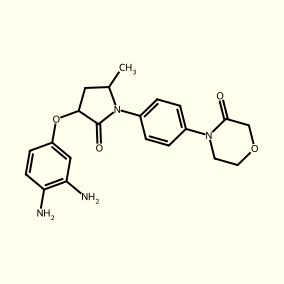 CC1CC(Oc2ccc(N)c(N)c2)C(=O)N1c1ccc(N2CCOCC2=O)cc1